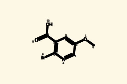 COc1cnc(Br)c(C(=O)O)c1